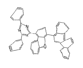 c1ccc(-c2nc(-c3ccccc3)nc(-c3ccc(-c4cc5c6ccccc6ccc5c5ccccc45)c4oc5ccccc5c34)n2)cc1